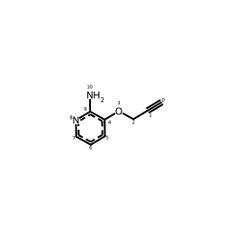 C#CCOc1cccnc1N